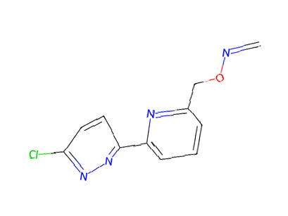 C=NOCc1cccc(-c2ccc(Cl)nn2)n1